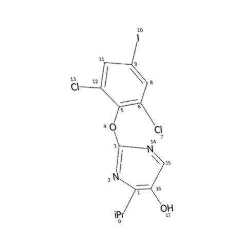 CC(C)c1nc(Oc2c(Cl)cc(I)cc2Cl)ncc1O